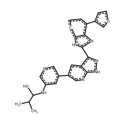 CC(C)C(O)Nc1cncc(-c2cnc3[nH]nc(-c4nc5c(-c6ccoc6)cccc5[nH]4)c3c2)c1